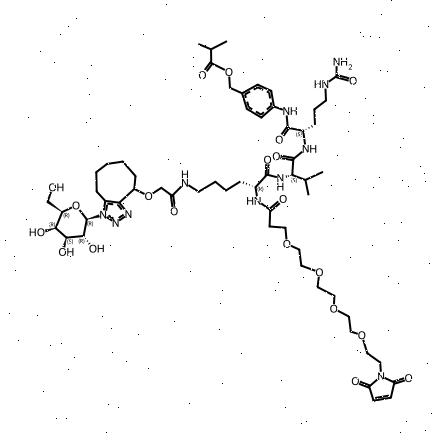 CC(C)C(=O)OCc1ccc(NC(=O)[C@H](CCCNC(N)=O)NC(=O)[C@@H](NC(=O)[C@@H](CCCCNC(=O)COC2CCCCCc3c2nnn3[C@@H]2O[C@H](CO)[C@H](O)[C@H](O)[C@H]2O)NC(=O)CCOCCOCCOCCOCCN2C(=O)C=CC2=O)C(C)C)cc1